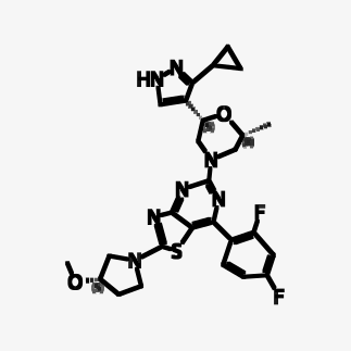 CO[C@H]1CCN(c2nc3nc(N4C[C@@H](C)O[C@@H](c5c[nH]nc5C5CC5)C4)nc(-c4ccc(F)cc4F)c3s2)C1